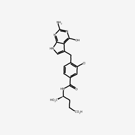 Nc1nc(O)c2c(Cc3ccc(C(=O)N[C@@H](CCC(=O)O)C(=O)O)cc3Cl)c[nH]c2n1